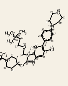 CC(=O)N1CCC(OC2=NC3=CC(Cl)=C(c4ccc(N5CCOCC5)cc4)NC3N2COCC[Si](C)(C)C)CC1